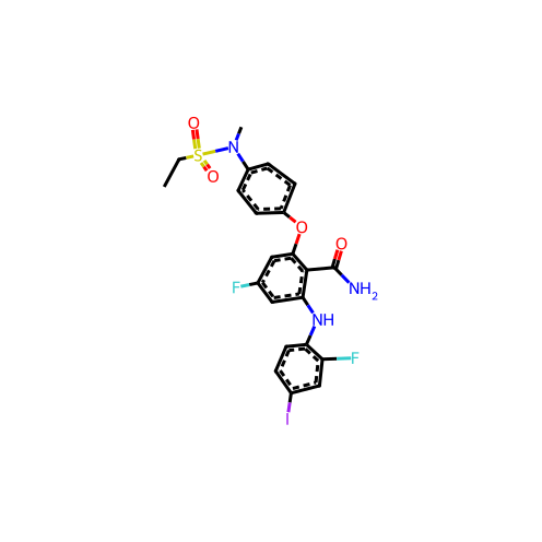 CCS(=O)(=O)N(C)c1ccc(Oc2cc(F)cc(Nc3ccc(I)cc3F)c2C(N)=O)cc1